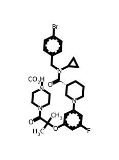 CC(C)(Oc1cc(F)cc(N2CCC[C@@H](C(=O)N(Cc3ccc(Br)cc3)C3CC3)C2)c1)C(=O)N1CCN(C(=O)O)CC1